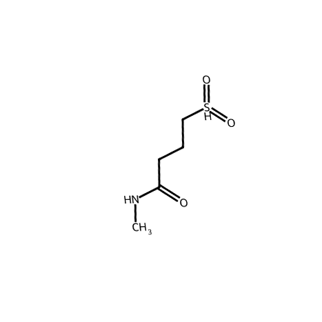 CNC(=O)CCC[SH](=O)=O